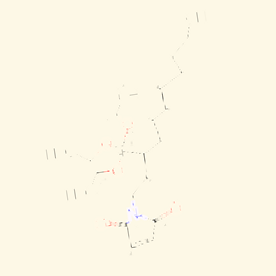 CCCCCCCCC(CCN1C(=O)C=CC1=O)[Si](OCC)(OCC)OCC